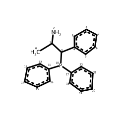 CC(N)C(c1ccccc1)P(c1ccccc1)c1ccccc1